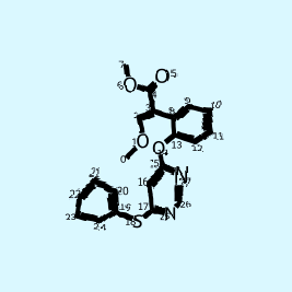 CO/C=C(/C(=O)OC)c1ccccc1Oc1cc(Sc2ccccc2)ncn1